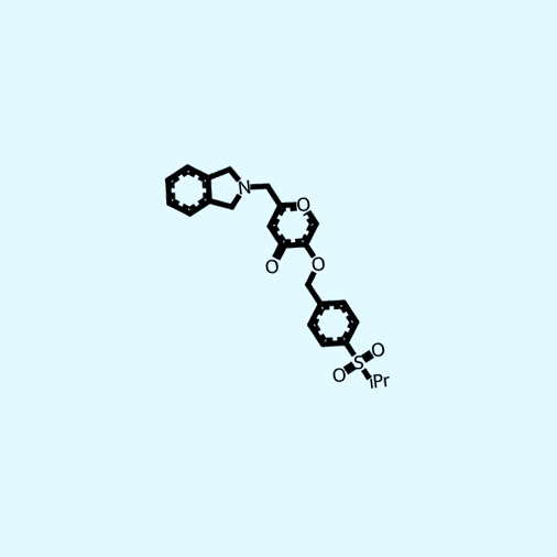 CC(C)S(=O)(=O)c1ccc(COc2coc(CN3Cc4ccccc4C3)cc2=O)cc1